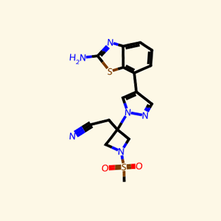 CS(=O)(=O)N1CC(CC#N)(n2cc(-c3cccc4nc(N)sc34)cn2)C1